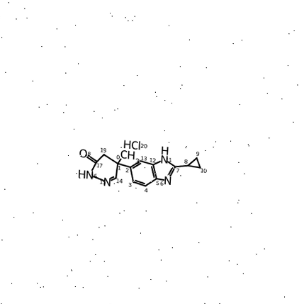 CC1(c2ccc3nc(C4CC4)[nH]c3c2)C=NNC(=O)C1.Cl